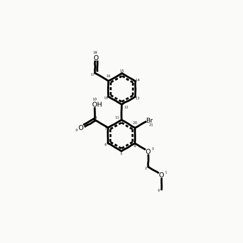 COCOc1ccc(C(=O)O)c(-c2cccc(C=O)c2)c1Br